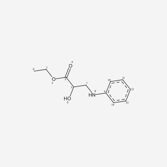 CCOC(=O)C(O)CNc1ccccc1